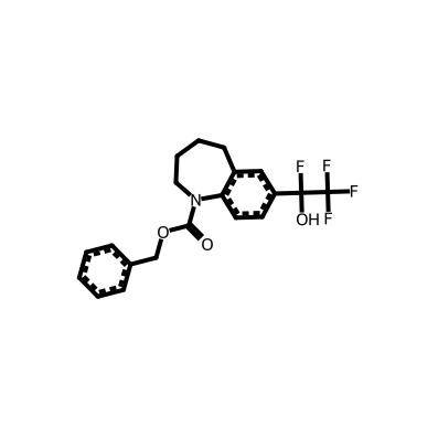 O=C(OCc1ccccc1)N1CCCCc2cc(C(O)(F)C(F)(F)F)ccc21